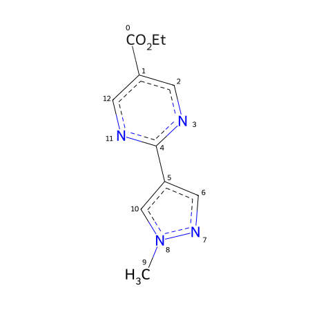 CCOC(=O)c1cnc(-c2cnn(C)c2)nc1